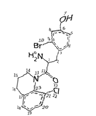 NC(Cc1ccc(O)cc1Br)C(=O)N1CCCc2cccc(Cl)c21